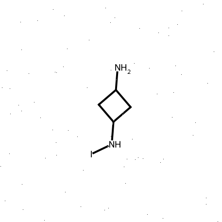 NC1CC(NI)C1